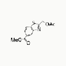 COC(=O)c1ccc2sc(COC(C)=O)nc2c1